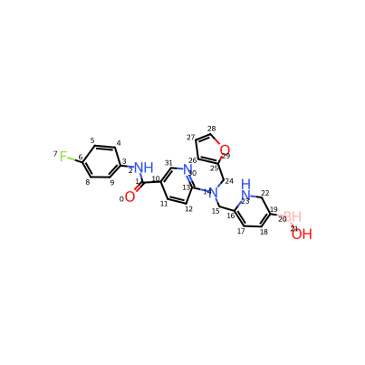 O=C(Nc1ccc(F)cc1)c1ccc(N(CC2=CC=C(BO)CN2)Cc2ccco2)nc1